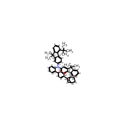 CC(C)(C)c1cccc2c1-c1ccc(N(c3ccc4c(c3)C(C)(C)c3ccccc3-4)c3ccccc3-c3ccc(C4CC5CCC4C5)cc3)cc1C2(C)C